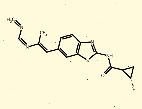 C=N/C=N\C(=C\c1ccc2nc(NC(=O)C3C[C@@H]3F)sc2c1)C(F)(F)F